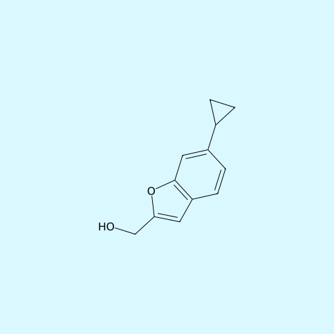 OCc1cc2ccc(C3CC3)cc2o1